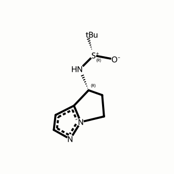 CC(C)(C)[S@+]([O-])N[C@@H]1CCn2nccc21